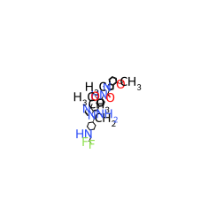 C=C([C@H]1CC[C@H](NCC(F)F)CC1)N1C=CN=C(C)/C1=C(/N)c1ccc(NC(=O)c2cc3c(OC)cccc3n2C)c(OC)c1